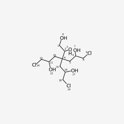 OCC(O)C(CC(O)CCl)(CC(O)CCl)CC(O)CCl